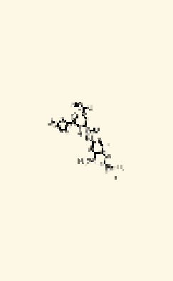 CCc1cc(NC(=O)C(CCC(=O)O)NC(=O)c2ccc(Cl)s2)ccc1CCN(C)C